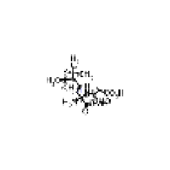 COC(=O)C(N)(/C=C/C1C(C)(C)SC1(C)C)N[C@H](C=O)CC(=O)O